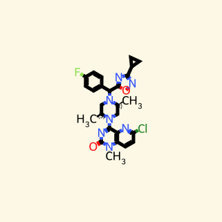 C[C@@H]1CN(c2nc(=O)n(C)c3ccc(Cl)nc23)[C@@H](C)CN1C(c1ccc(F)cc1)c1nc(C2CC2)no1